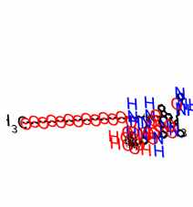 COCCOCCOCCOCCOCCOCCOCCOCCOCCOCCOCCOCCC(=O)NCCCC[C@H](NC(=O)OCC1c2ccccc2-c2ccccc21)C(=O)NCCC(=O)Nc1cc(O[C@@H]2O[C@H](C(=O)O)[C@@H](O)[C@H](O)[C@H]2O)ccc1COC(=O)Nc1cccc(C(=O)N(C)CCON(C(=O)CCCCCCNC(=O)Nc2ccncc2)C2CCCCC2)c1